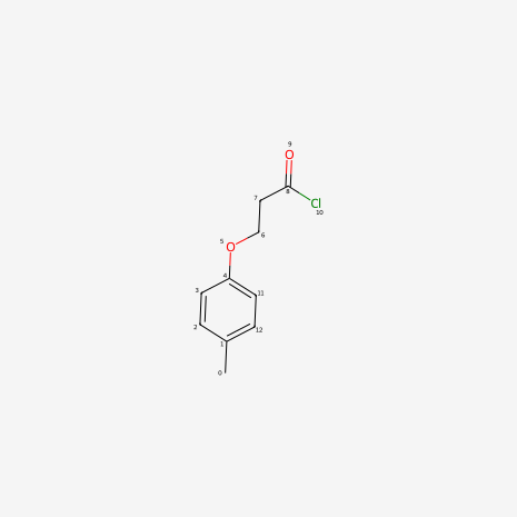 Cc1ccc(OCCC(=O)Cl)cc1